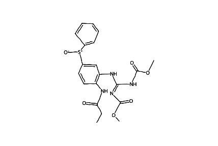 CCC(=O)Nc1ccc([S+]([O-])c2ccccc2)cc1NC(=NC(=O)OC)NC(=O)OC